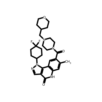 Cc1cc2[nH]c(=O)c3cnn(C4CCC(F)(F)CC4)c3c2cc1C(=O)N1CCN(CC2CCOCC2)CC1